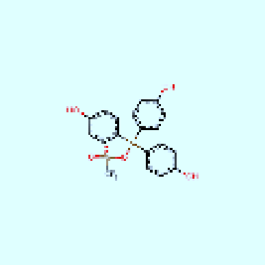 O=S(=O)(OS(c1ccc(O)cc1)(c1ccc(O)cc1)c1ccc(O)cc1)C(F)(F)F